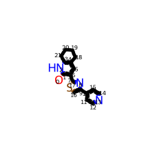 O=c1[nH]c2c(cc1-c1nc(-c3ccncc3)cs1)CCCC2